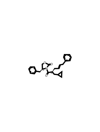 O=C1OC[C@H](Cc2ccccc2)N1C(=O)[C@@H](CC=CCc1ccccc1)CC1CC1